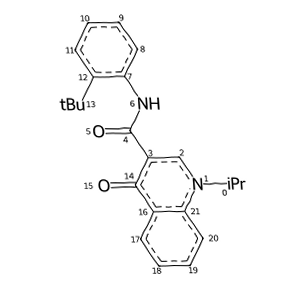 CC(C)n1cc(C(=O)Nc2ccccc2C(C)(C)C)c(=O)c2ccccc21